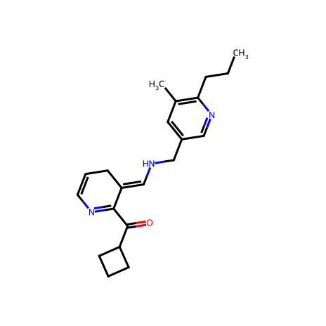 CCCc1ncc(CN/C=C2\CC=CN=C2C(=O)C2CCC2)cc1C